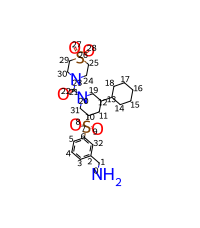 NCc1cccc(S(=O)(=O)[C@H]2CC(C3CCCCC3)CN(C(=O)N3CCS(=O)(=O)CC3)C2)c1